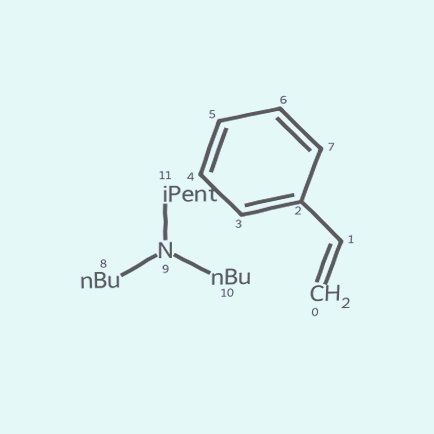 C=Cc1ccccc1.CCCCN(CCCC)C(C)CCC